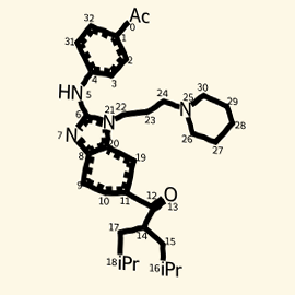 CC(=O)c1ccc(Nc2nc3ccc(C(=O)C(CC(C)C)CC(C)C)cc3n2CCCN2CCCCC2)cc1